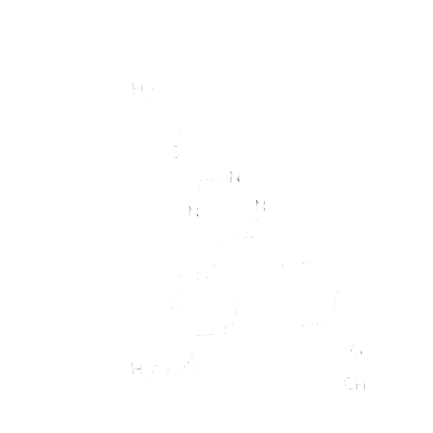 CCSc1nnc(-c2ccc(OC)cc2)c(-c2ccc(OC)cc2)n1